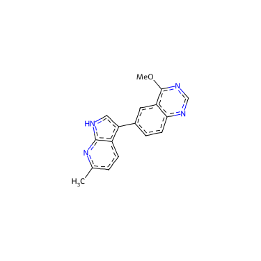 COc1ncnc2ccc(-c3c[nH]c4nc(C)ccc34)cc12